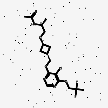 CC(=O)N[C@@H](C)CO[C@H]1C[C@H](COc2ncnc(OCC(C)(F)F)c2Cl)C1